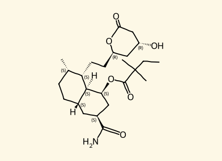 CCC(C)(C)C(=O)O[C@H]1C[C@@H](C(N)=O)C[C@@H]2CC[C@H](C)[C@H](CC[C@@H]3C[C@@H](O)CC(=O)O3)[C@H]21